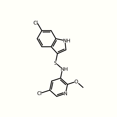 COc1ncc(Cl)cc1NSc1c[nH]c2cc(Cl)ccc12